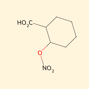 O=C(O)C1CCCCC1O[N+](=O)[O-]